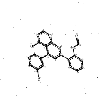 Nc1ncnc2nc(-c3ccccc3NC=O)cc(-c3cccc(Br)c3)c12